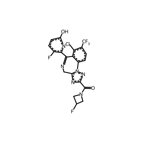 O=C(c1nc2n(n1)-c1ccc(C(F)(F)F)c(Cl)c1C(c1nc(O)ccc1F)=NC2)N1CC(F)C1